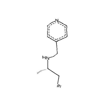 CC(C)C[C@H](C)NCc1ccncc1